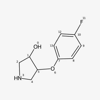 OC1CNCC1Oc1ccc(F)cc1